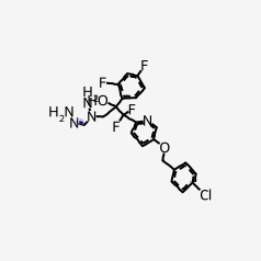 N/N=C\N(N)CC(O)(c1ccc(F)cc1F)C(F)(F)c1ccc(OCc2ccc(Cl)cc2)cn1